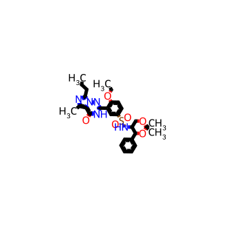 CCCc1nc(C)c2c(=O)[nH]c(-c3cc(S(=O)(=O)NC4COC(C)(C)OC4c4ccccc4)ccc3OCC)nn12